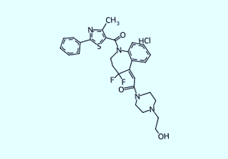 Cc1nc(-c2ccccc2)sc1C(=O)N1CCC(F)(F)C(=CC(=O)N2CCN(CCO)CC2)c2ccccc21.Cl